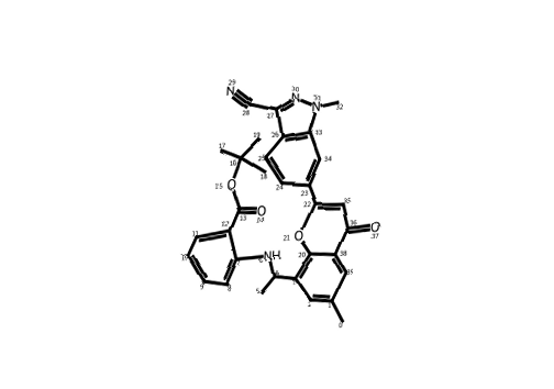 Cc1cc(C(C)Nc2ccccc2C(=O)OC(C)(C)C)c2oc(-c3ccc4c(C#N)nn(C)c4c3)cc(=O)c2c1